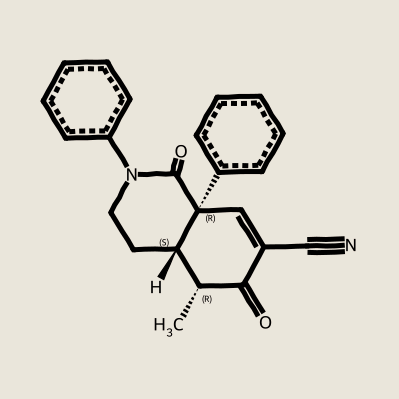 C[C@H]1C(=O)C(C#N)=C[C@]2(c3ccccc3)C(=O)N(c3ccccc3)CC[C@@H]12